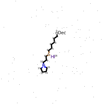 CCCCCCCCCCCCCCCCSCCCN1CCCC1.I